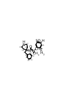 CN(C)C(=O)NC1(Cc2ccccc2)CCNCC1.Cc1ccc(S(=O)(=O)O)cc1